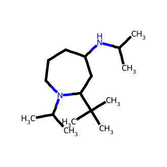 CC(C)NC1CCCN(C(C)C)C(C(C)(C)C)C1